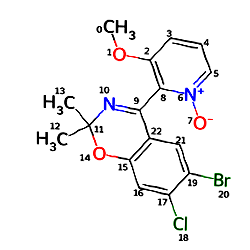 COc1ccc[n+]([O-])c1C1=NC(C)(C)Oc2cc(Cl)c(Br)cc21